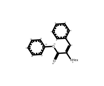 CCCCCCC(=Cc1ccccc1)C(=O)Oc1ccccc1